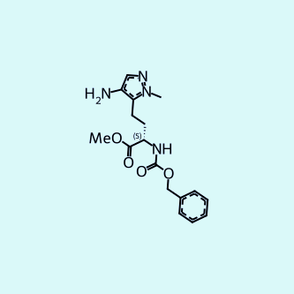 COC(=O)[C@H](CCc1c(N)cnn1C)NC(=O)OCc1ccccc1